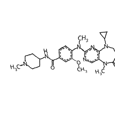 COc1cc(C(=O)NC2CCN(C)CC2)ccc1N(C)c1ncc2c(n1)N(C1CC1)CCC(=O)N2C